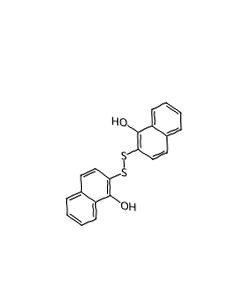 Oc1c(SSc2ccc3ccccc3c2O)ccc2ccccc12